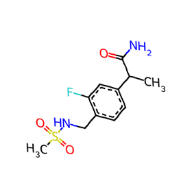 CC(C(N)=O)c1ccc(CNS(C)(=O)=O)c(F)c1